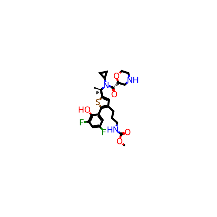 COC(=O)NCCCc1cc([C@@H](C)N(C(=O)[C@H]2CNCCO2)C2CC2)sc1-c1cc(F)cc(F)c1O